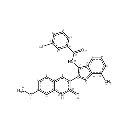 COc1ccc2cc(-c3nc4c(C)cccn4c3NC(=O)c3cccc(F)c3)c(=O)[nH]c2c1